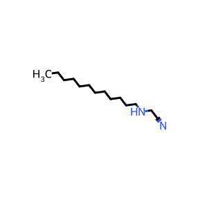 CCCCCCCCCCCCNCC#N